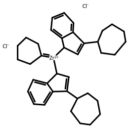 C1=C(C2CCCCCC2)c2ccccc2[CH]1[Zr+2](=[C]1CCCCC1)[CH]1C=C(C2CCCCCC2)c2ccccc21.[Cl-].[Cl-]